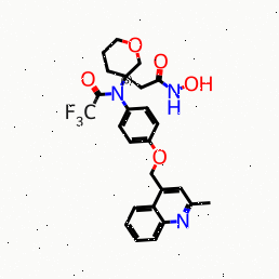 Cc1cc(COc2ccc(N(C(=O)C(F)(F)F)[C@]3(CC(=O)NO)CCCOC3)cc2)c2ccccc2n1